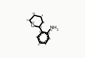 Nc1ccccc1C1CCCCO1